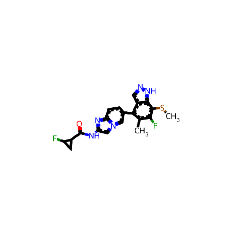 CSc1c(F)c(C)c(-c2ccc3nc(NC(=O)C4CC4F)cn3c2)c2cn[nH]c12